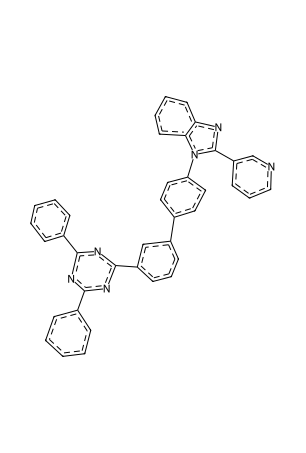 c1ccc(-c2nc(-c3ccccc3)nc(-c3cccc(-c4ccc(-n5c(-c6cccnc6)nc6ccccc65)cc4)c3)n2)cc1